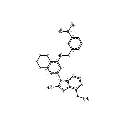 Cc1cc2c(CN)cccc2n1-c1nc2c(c(NCc3cccc(B(O)O)c3)n1)CCCC2